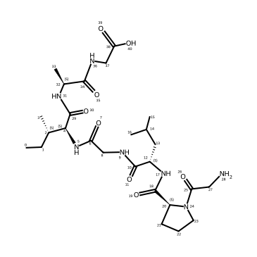 CC[C@H](C)[C@H](NC(=O)CNC(=O)[C@H](CC(C)C)NC(=O)[C@@H]1CCCN1C(=O)CN)C(=O)N[C@@H](C)C(=O)NCC(=O)O